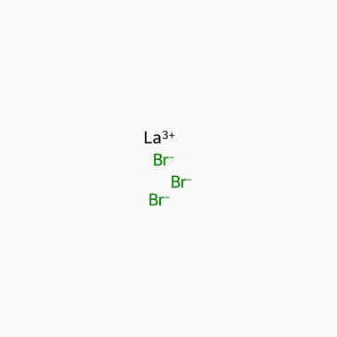 [Br-].[Br-].[Br-].[La+3]